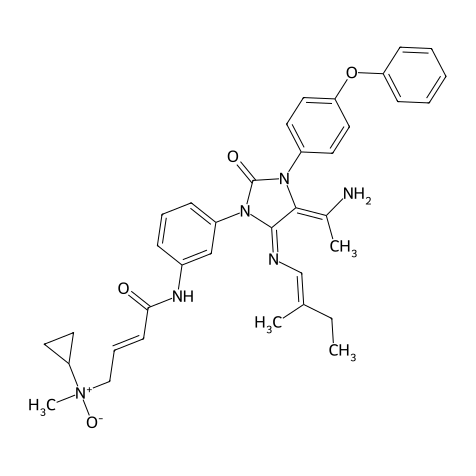 CC/C(C)=C/N=C1\C(=C(/C)N)N(c2ccc(Oc3ccccc3)cc2)C(=O)N1c1cccc(NC(=O)/C=C/C[N+](C)([O-])C2CC2)c1